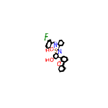 Oc1cc(-c2cccc3c2oc2ccccc23)c2nc(-c3ccccc3/N=C/c3cc(F)ccc3O)sc2c1